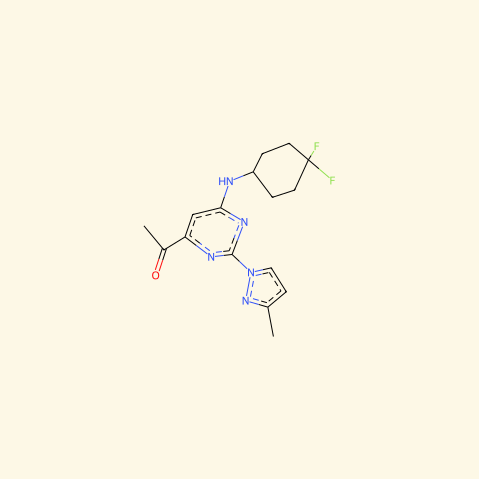 CC(=O)c1cc(NC2CCC(F)(F)CC2)nc(-n2ccc(C)n2)n1